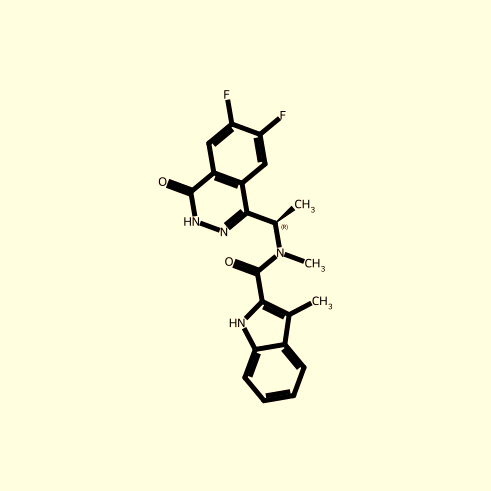 Cc1c(C(=O)N(C)[C@H](C)c2n[nH]c(=O)c3cc(F)c(F)cc23)[nH]c2ccccc12